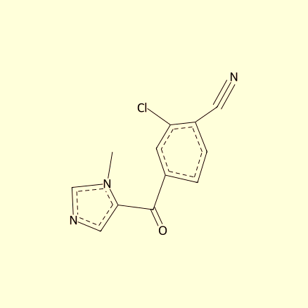 Cn1cncc1C(=O)c1ccc(C#N)c(Cl)c1